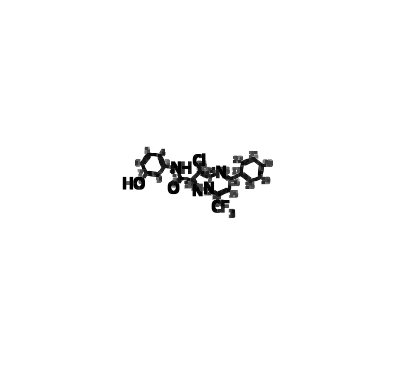 O=C(Nc1cccc(O)c1)c1nn2c(C(F)(F)F)cc(-c3ccccc3)nc2c1Cl